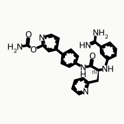 N=C(N)c1cccc(N[C@@H](Cc2ccccn2)C(=O)Nc2ccc(-c3ccnc(OC(N)=O)c3)cc2)c1